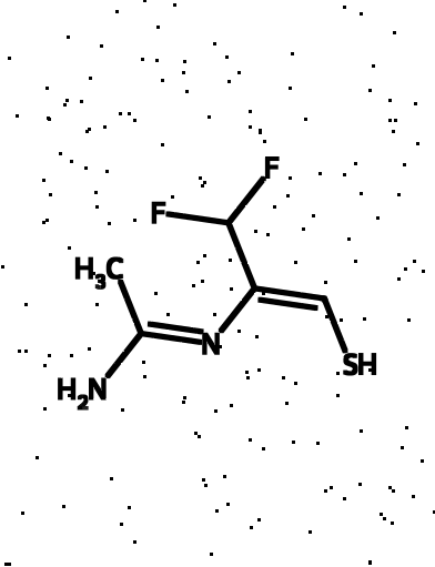 C/C(N)=N\C(=C/S)C(F)F